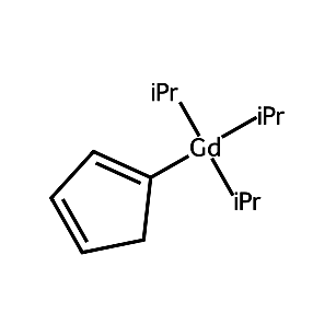 C[CH](C)[Gd]([C]1=CC=CC1)([CH](C)C)[CH](C)C